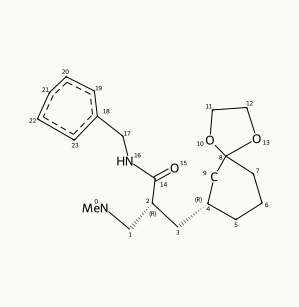 CNC[C@@H](C[C@H]1CCCC2(C1)OCCO2)C(=O)NCc1ccccc1